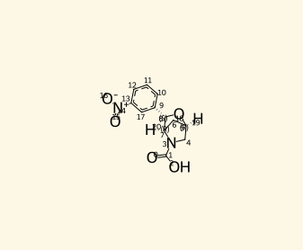 O=C(O)N1C[C@H]2C[C@@H]1[C@H](c1cccc([N+](=O)[O-])c1)O2